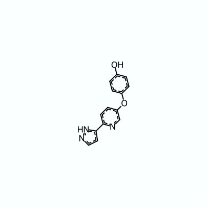 Oc1ccc(Oc2ccc(-c3ccn[nH]3)nc2)cc1